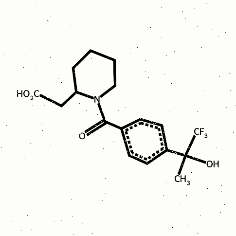 CC(O)(c1ccc(C(=O)N2CCCCC2CC(=O)O)cc1)C(F)(F)F